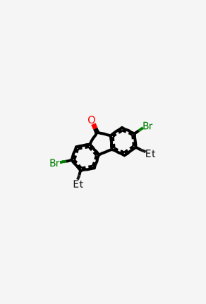 CCc1cc2c(cc1Br)C(=O)c1cc(Br)c(CC)cc1-2